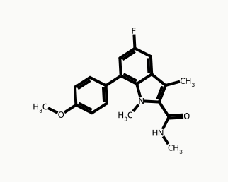 CNC(=O)c1c(C)c2cc(F)cc(-c3ccc(OC)cc3)c2n1C